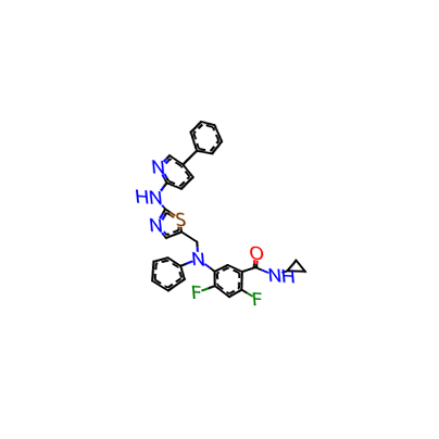 O=C(NC1CC1)c1cc(N(Cc2cnc(Nc3ccc(-c4ccccc4)cn3)s2)c2ccccc2)c(F)cc1F